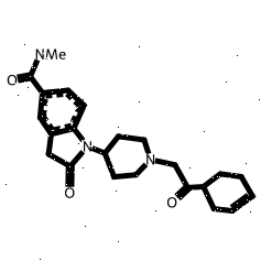 CNC(=O)c1ccc2c(c1)CC(=O)N2C1CCN(CC(=O)C2CC=CCC2)CC1